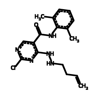 C=CCCNNc1nc(Cl)ncc1C(=O)Nc1c(C)cccc1C